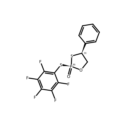 O=[P@@]1(Sc2c(F)c(F)c(F)c(F)c2F)OC[C@H](c2ccccc2)S1